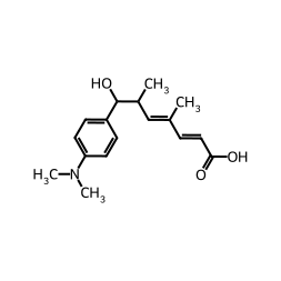 CC(/C=C/C(=O)O)=C\C(C)C(O)c1ccc(N(C)C)cc1